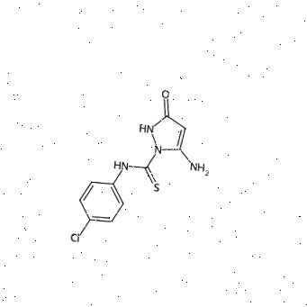 Nc1cc(=O)[nH]n1C(=S)Nc1ccc(Cl)cc1